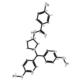 CC(C)Oc1ccc(C(c2ccc(OC(C)C)nc2)N2CC[C@@H](NC(=O)c3ccc(C#N)cc3)C2)cn1